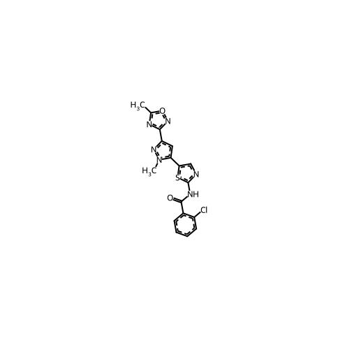 Cc1nc(-c2cc(-c3cnc(NC(=O)c4ccccc4Cl)s3)n(C)n2)no1